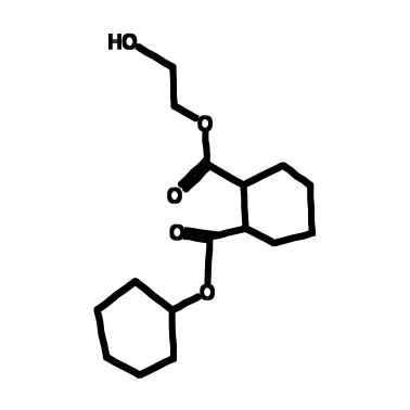 O=C(OCCO)C1CCCCC1C(=O)OC1CCCCC1